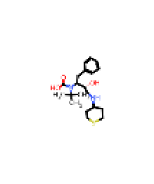 CC(C)(C)N(C(=O)O)[C@@H](Cc1ccccc1)[C@H](O)CNC1CCSCC1